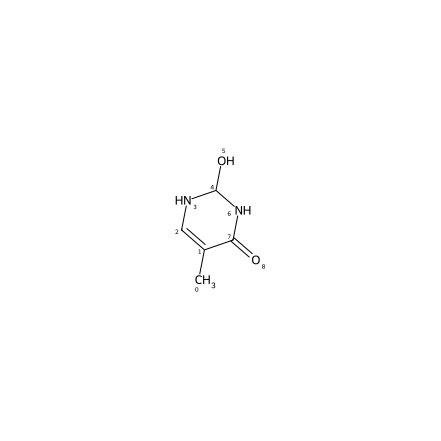 CC1=CNC(O)NC1=O